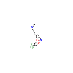 C=CCN(C)CCCCCC1CCC(CN(C)C(=O)Oc2ccc(C(F)(F)F)cc2)CC1